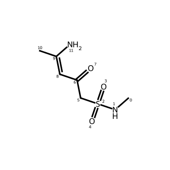 CNS(=O)(=O)CC(=O)C=C(C)N